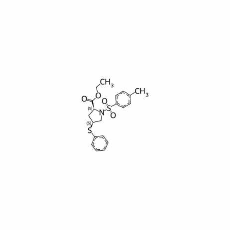 CCOC(=O)[C@@H]1C[C@H](Sc2ccccc2)CN1S(=O)(=O)c1ccc(C)cc1